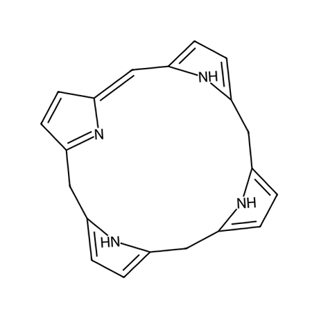 C1=CC2=NC1=Cc1ccc([nH]1)Cc1ccc([nH]1)Cc1ccc([nH]1)C2